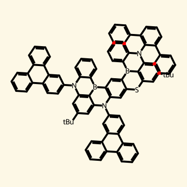 CC(C)(C)c1cc2c3c(c1)N(c1c(-c4ccccc4)cccc1-c1ccccc1)c1ccccc1B3c1cc3c(cc1S2)N(c1ccc2c4ccccc4c4ccccc4c2c1)c1cc(C(C)(C)C)cc2c1B3c1ccccc1N2c1ccc2c3ccccc3c3ccccc3c2c1